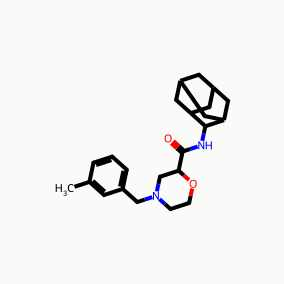 Cc1cccc(CN2CCOC(C(=O)NC3C4CC5CC(C4)CC3C5)C2)c1